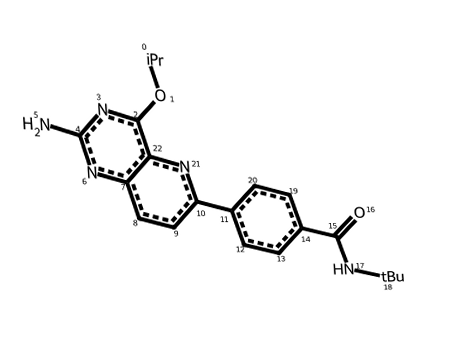 CC(C)Oc1nc(N)nc2ccc(-c3ccc(C(=O)NC(C)(C)C)cc3)nc12